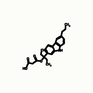 CCCc1ccc2[nH]c3cc(C(CC)(CC)OC(=O)CC(=O)O)ccc3c2c1